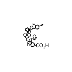 C#Cc1ccc(COc2cccc(C3OCC(Cc4nc5ccc(C(=O)O)cc5n4C[C@@H]4CCO4)CO3)n2)c(F)c1